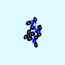 C1=CC2N=C3N(c4cc(-c5cccc([Si](c6ccccc6)(c6ccccc6)c6cccc(-n7c8ccccc8n8c9ccccc9nc78)c6)c5)cc(-n5c6ccccc6n6c7ccccc7nc56)n4)c4ccccc4N3C2C=C1